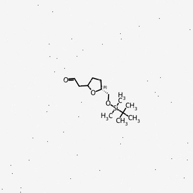 CC(C)(C)[Si](C)(C)OC[C@H]1CCC(CC=O)O1